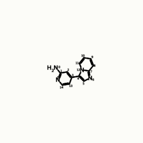 Nc1cc(-c2cnc3ccccn23)ccn1